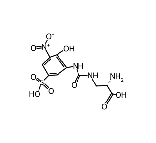 N[C@@H](CNC(=O)Nc1cc(S(=O)(=O)O)cc([N+](=O)[O-])c1O)C(=O)O